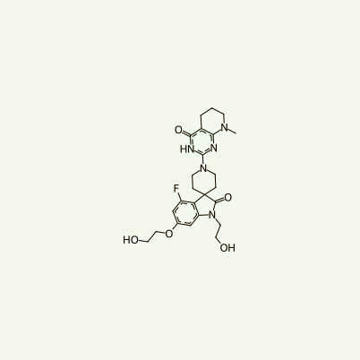 CN1CCCc2c1nc(N1CCC3(CC1)C(=O)N(CCO)c1cc(OCCO)cc(F)c13)[nH]c2=O